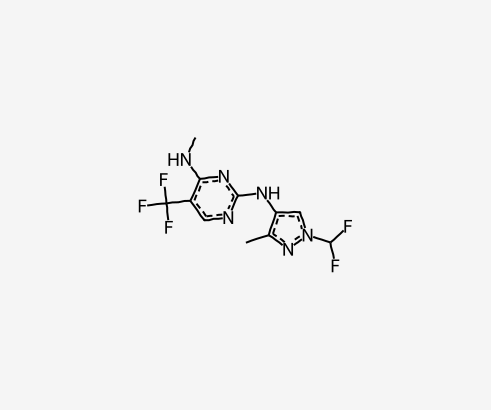 CNc1nc(Nc2cn(C(F)F)nc2C)ncc1C(F)(F)F